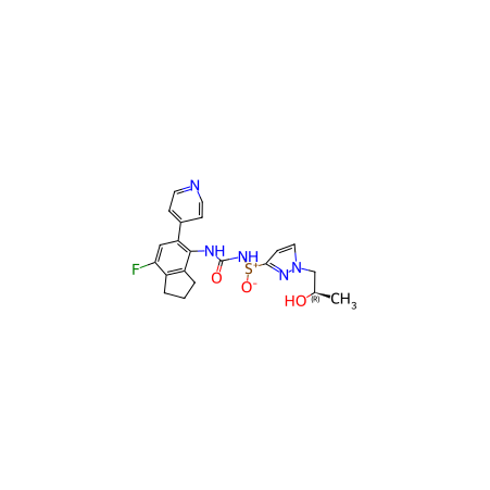 C[C@@H](O)Cn1ccc([S+]([O-])NC(=O)Nc2c(-c3ccncc3)cc(F)c3c2CCC3)n1